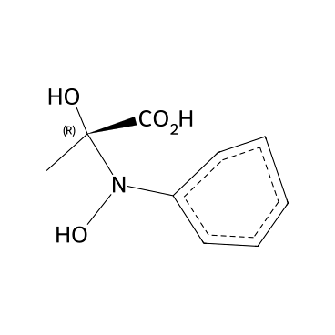 C[C@@](O)(C(=O)O)N(O)c1ccccc1